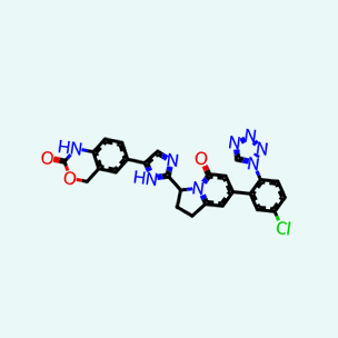 O=C1Nc2ccc(-c3cnc(C4CCc5cc(-c6cc(Cl)ccc6-n6cnnn6)cc(=O)n54)[nH]3)cc2CO1